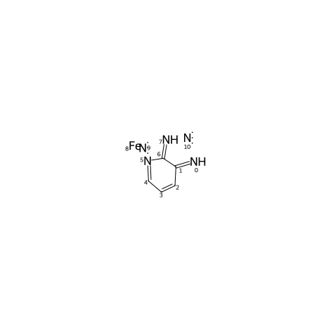 N=C1C=CC=NC1=N.[Fe].[N].[N]